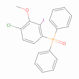 COc1c(Cl)ccc(P(=O)(c2ccccc2)c2ccccc2)c1I